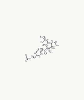 CC/C(=C(\C(=O)Nc1ccc(OCCN(C)C)cc1)c1ccc(O)cc1)c1ccccc1